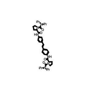 CC(C)N(C(=O)N1CCCC1C(=O)Nc1ccc(/C=C/c2ccc(NC(=O)C3CCCN3C(=O)N(C(C)C)C(C)C)cc2)cc1)C(C)C